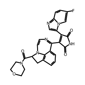 O=C1NC(=O)C(c2cnc3ccc(F)cn23)=C1C1=NC=CN2c3c(cccc31)CC2C(=O)N1CCOCC1